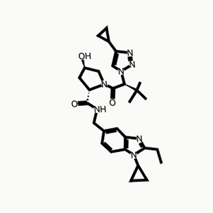 CCc1nc2cc(CNC(=O)[C@@H]3C[C@@H](O)CN3C(=O)[C@@H](n3cc(C4CC4)nn3)C(C)(C)C)ccc2n1C1CC1